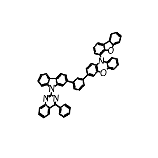 c1ccc(-c2nc(-n3c4ccccc4c4ccc(-c5cccc(-c6ccc7c(c6)Oc6ccccc6N7c6cccc7c6oc6ccccc67)c5)cc43)nc3ccccc23)cc1